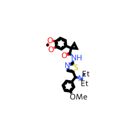 CCN(CC)C(c1cccc(OC)c1)c1cnc(NC(=O)C2(c3ccc4c(c3)OCO4)CC2)s1